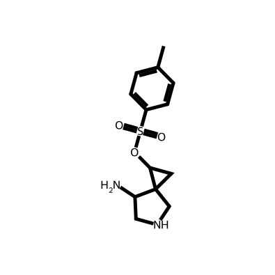 Cc1ccc(S(=O)(=O)OC2CC23CNCC3N)cc1